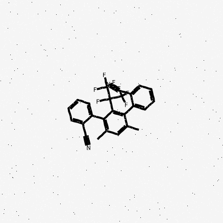 Cc1[c]c(C)c(-c2ccccc2C#N)c(C(F)(C(F)(F)F)C(F)(F)F)c1-c1ccccc1C#N